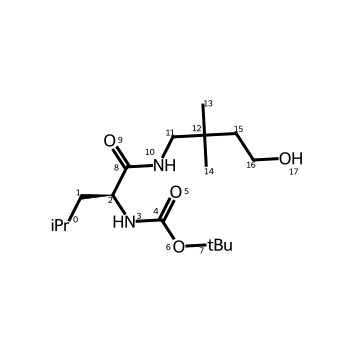 CC(C)C[C@H](NC(=O)OC(C)(C)C)C(=O)NCC(C)(C)CCO